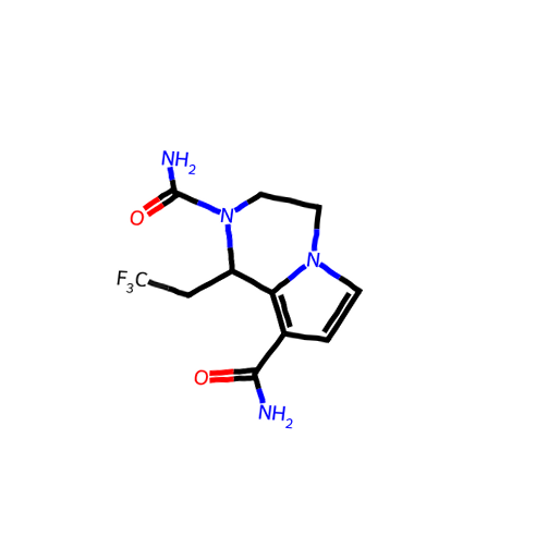 NC(=O)c1ccn2c1C(CC(F)(F)F)N(C(N)=O)CC2